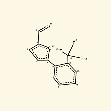 O=Cc1ccc(-c2ccccc2C(F)(F)F)o1